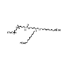 CCCCCCCCCCCCCCCCCCOCC(CCCOC(=O)NCCCC(C)(C)OCCC(C)(C)OC)OCCCCCCCCCCCCCCCCCC